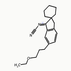 CCOCCCc1ccc2c(c1)/C(=N\C#N)C1(CCCCC1)C2